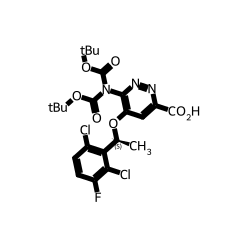 C[C@H](Oc1cc(C(=O)O)nnc1N(C(=O)OC(C)(C)C)C(=O)OC(C)(C)C)c1c(Cl)ccc(F)c1Cl